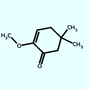 COC1=CCC(C)(C)CC1=O